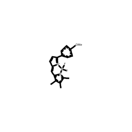 COc1ccc(C2=[N+]3C(=Cc4c(C)c(C)c(C)n4[B-]3(F)F)C=C2)cc1